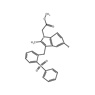 COC(=O)Cn1c(C)c(Cc2ccccc2S(=O)(=O)c2ccccc2)c2cc(F)ccc21